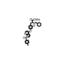 COC(=O)C(Cc1ccc(Oc2ccnc3c2ccn3[S+]([O-])c2ccc(C)cc2)cc1)NCC1CCCCC1